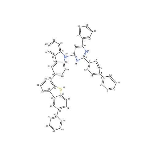 c1ccc(-c2ccc(-c3nc(-c4ccccc4)cc(-n4c5ccccc5c5cc(-c6cccc7c6sc6ccc(-c8ccccc8)cc67)ccc54)n3)cc2)cc1